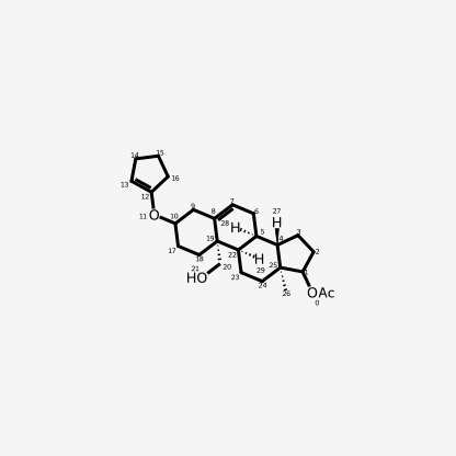 CC(=O)OC1CC[C@H]2[C@@H]3CC=C4CC(OC5=CCCC5)CC[C@]4(CO)[C@@H]3CC[C@]12C